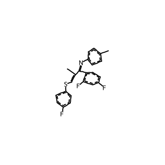 CC(=C\Sc1ccc(F)cc1)/C(=N/c1ccc(C)cc1)c1ccc(F)cc1F